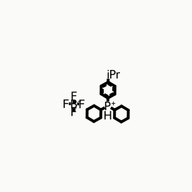 CC(C)c1ccc([PH+](C2CCCCC2)C2CCCCC2)cc1.F[B-](F)(F)F